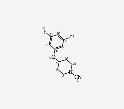 N#CB1CCC(Oc2cc(F)cc(F)c2)CC1